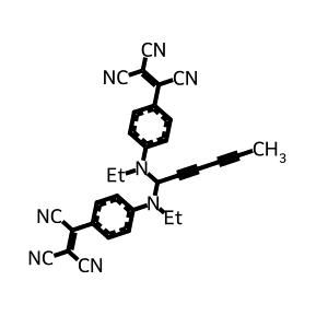 CC#CC#CC(N(CC)c1ccc(C(C#N)=C(C#N)C#N)cc1)N(CC)c1ccc(C(C#N)=C(C#N)C#N)cc1